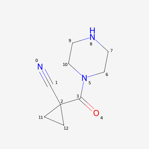 N#CC1(C(=O)N2CCNCC2)CC1